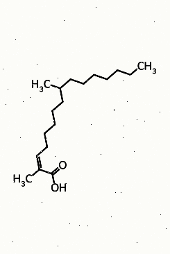 CCCCCCCC(C)CCCCCC=C(C)C(=O)O